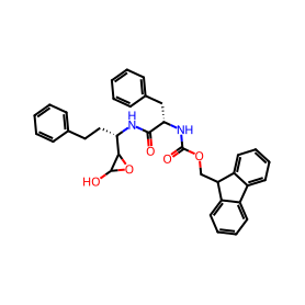 O=C(N[C@@H](Cc1ccccc1)C(=O)N[C@@H](CCc1ccccc1)C1OC1O)OCC1c2ccccc2-c2ccccc21